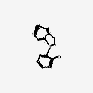 Clc1ccccc1N1CCc2ccccc21